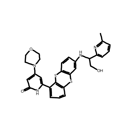 Cc1cccc(C(CO)Nc2ccc3c(c2)Sc2cccc(-c4cc(N5CCOCC5)cc(=O)[nH]4)c2S3)n1